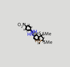 CSC1CC(SC)(SC)c2cc(NNc3ccc([N+](=O)[O-])cc3)ccc2[SH]1C